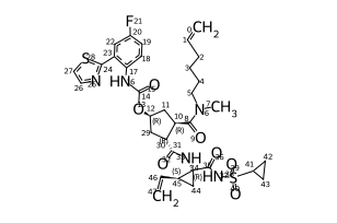 C=CCCCCN(C)C(=O)[C@@H]1C[C@H](OC(=O)Nc2ccc(F)cc2-c2nccs2)C[C@H]1C(=O)N[C@]1(C(=O)NS(=O)(=O)C2CC2)C[C@H]1C=C